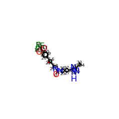 O=C(N1CC(C23CC(c4ccc(S(=O)(=O)C(F)(F)F)cc4)(C2)C3)C1)N1CC2(CC(c3nc(C4CC4)n[nH]3)C2)C1